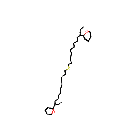 CCC(CCCCCCCCCSCCCCCCCCCC(CC)C1CCCCO1)C1CCCCO1